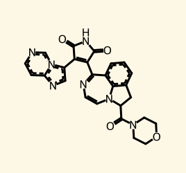 O=C1NC(=O)C(c2cnc3ccncn23)=C1C1=NC=CN2c3c(cccc31)CC2C(=O)N1CCOCC1